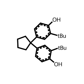 CC(C)(C)c1cc(C2(c3ccc(O)c(C(C)(C)C)c3)CCCC2)ccc1O